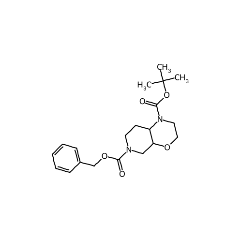 CC(C)(C)OC(=O)N1CCOC2CN(C(=O)OCc3ccccc3)CCC21